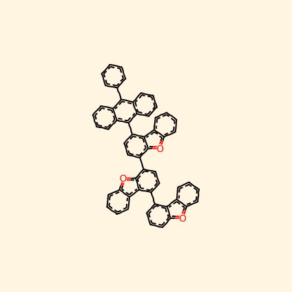 c1ccc(-c2c3ccccc3c(-c3ccc(-c4ccc(-c5cccc6oc7ccccc7c56)c5c4oc4ccccc45)c4oc5ccccc5c34)c3ccccc23)cc1